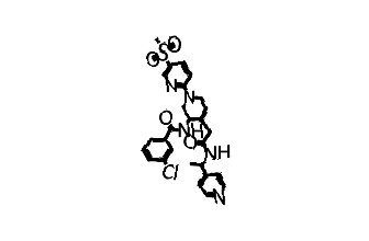 CC(NC(=O)CC1CCN(c2ccc(S(C)(=O)=O)cn2)CC1NC(=O)c1cccc(Cl)c1)c1ccncc1